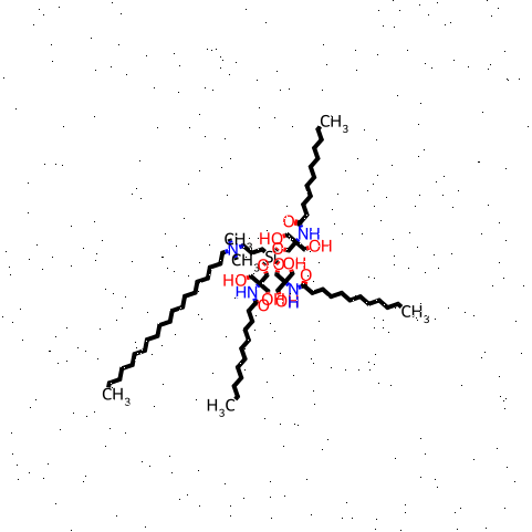 CCCCCCCCCCCCCCCCCCCC[N+](C)(C)CCC[Si](OCC(CO)(CO)NC(=O)CCCCCCCCCCC)(OCC(CO)(CO)NC(=O)CCCCCCCCCCC)OCC(CO)(CO)NC(=O)CCCCCCCCCCC